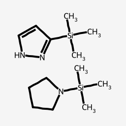 C[Si](C)(C)N1CCCC1.C[Si](C)(C)c1cc[nH]n1